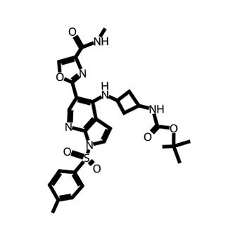 CNC(=O)c1coc(-c2cnc3c(ccn3S(=O)(=O)c3ccc(C)cc3)c2NC2CC(NC(=O)OC(C)(C)C)C2)n1